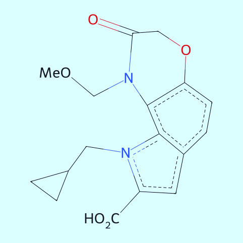 COCN1C(=O)COc2ccc3cc(C(=O)O)n(CC4CC4)c3c21